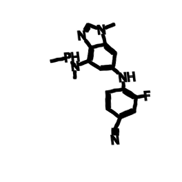 CPN(C)c1cc(Nc2ccc(C#N)cc2F)cc2c1ncn2C